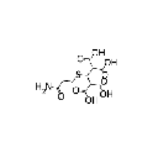 NC(=O)CCSC(C(C(=O)O)C(=O)O)C(C(=O)O)C(=O)O